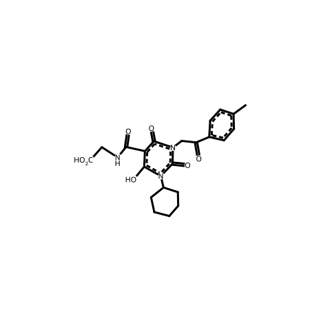 Cc1ccc(C(=O)Cn2c(=O)c(C(=O)NCC(=O)O)c(O)n(C3CCCCC3)c2=O)cc1